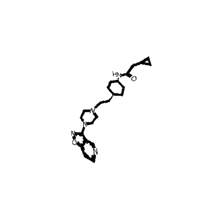 O=C(CC1CC1)N[C@H]1CC[C@H](CCN2CCN(c3noc4ccncc34)CC2)CC1